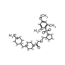 COc1cc(C)c(S(=O)(=O)N2CCCC2COCC(=O)N2CCN(CC3CCN(C)CC3)CC2)c(C)c1